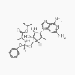 CC(C)OC(=O)[C@H](C)N[P@@](=O)(Oc1ccccc1)OC1[C@H]2[C@H](C)[C@@H](n3cnc4c(N)nc(N)nc43)[C@H](O)[C@@]12O